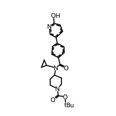 CC(C)(C)OC(=O)N1CCC(N(C(=O)c2ccc(-c3ccc(O)nc3)cc2)C2CC2)CC1